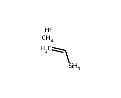 C.C=C[SiH3].F